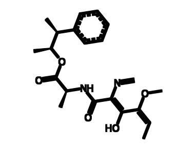 C=N/C(C(=O)N[C@@H](C)C(=O)O[C@@H](C)[C@@H](C)c1ccccc1)=C(O)\C(=C/C)OC